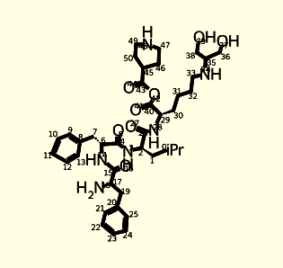 CC(C)C[C@@H](NC(=O)[C@@H](Cc1ccccc1)NC(=O)[C@H](N)Cc1ccccc1)C(=O)N[C@H](CCCCNC(CO)CO)C(=O)OC(=O)C1CCNCC1